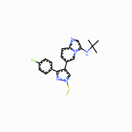 CC(C)(C)Nc1cnc2ccc(-c3cn(SF)nc3-c3ccc(F)cc3)cn12